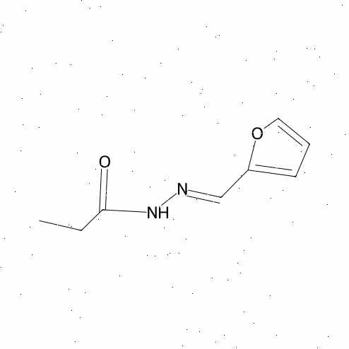 CCC(=O)NN=Cc1ccco1